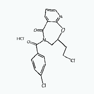 Cl.O=C(c1ccc(Cl)cc1)N1CC(CCCl)Oc2ncccc2C1=O